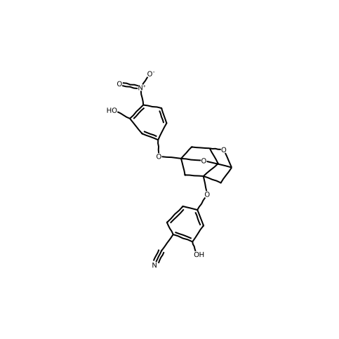 N#Cc1ccc(OC23CC4CC(Oc5ccc([N+](=O)[O-])c(O)c5)(C2)OC(C3)O4)cc1O